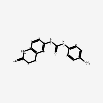 Nc1ccc(NC(=O)Nc2ccc3c(c2)CCC(=O)N3)cc1